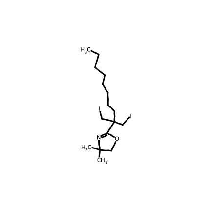 CCCCCCCCC(CI)(CI)C1=NC(C)(C)CO1